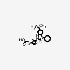 CC(C)C1CCC(N(C(=O)Nc2ncc(SCC(=O)O)s2)C2CCCCCC2)CC1